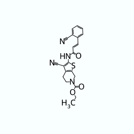 CCOC(=O)N1CCc2c(sc(NC(=O)C=Cc3ccccc3C#N)c2C#N)C1